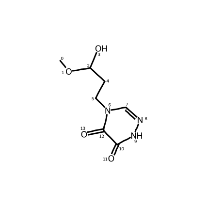 COC(O)CCn1[c]n[nH]c(=O)c1=O